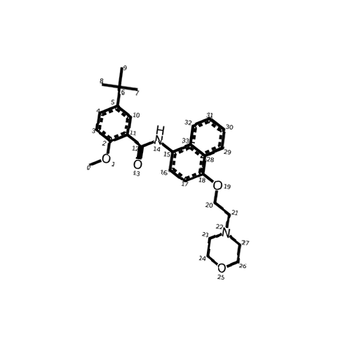 COc1ccc(C(C)(C)C)cc1C(=O)Nc1ccc(OCCN2CCOCC2)c2ccccc12